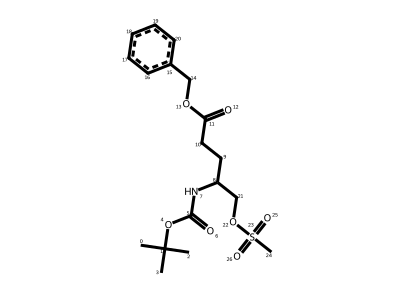 CC(C)(C)OC(=O)NC(CCC(=O)OCc1ccccc1)COS(C)(=O)=O